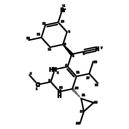 COC1NC(C(C#N)[C@@H]2CC(Br)=CC(C)C2)=C(C(C)C)C([C@@H]2CC2C)N1